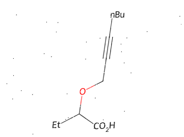 CCCCC#CCOC(CC)C(=O)O